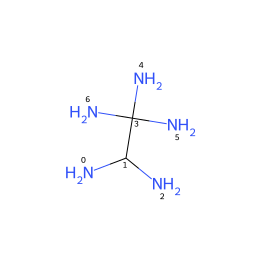 NC(N)C(N)(N)N